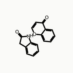 O=C1Cc2ccccc2N1.O=c1ccoc2ccccc12